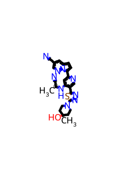 C[C@H](C#N)Nc1cc(-c2ccc3cc(C#N)cnn23)ncc1-c1nnc(N2CCC(C)(O)CC2)s1